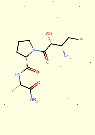 CC(C)C[C@H](N)[C@@H](O)C(=O)N1CCC[C@H]1C(=O)N[C@@H](C)C(N)=O